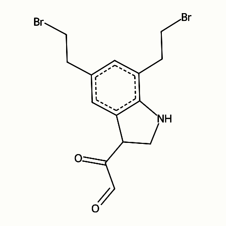 O=CC(=O)C1CNc2c(CCBr)cc(CCBr)cc21